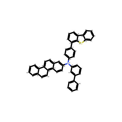 c1ccc(-c2cccc(N(c3ccc(-c4cccc5c4sc4ccccc45)cc3)c3ccc4c(ccc5c6ccccc6ccc45)c3)c2)cc1